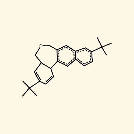 CC(C)(C)C1=CC2COCc3cc4cc(C(C)(C)C)ccc4cc3C2C=C1